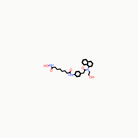 O=C(CCCCCCC(=O)Nc1ccc(CC(=O)N(CCO)c2cccc3ccccc23)cc1)NO